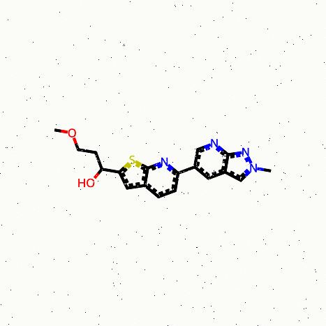 COCCC(O)c1cc2ccc(-c3cnc4nn(C)cc4c3)nc2s1